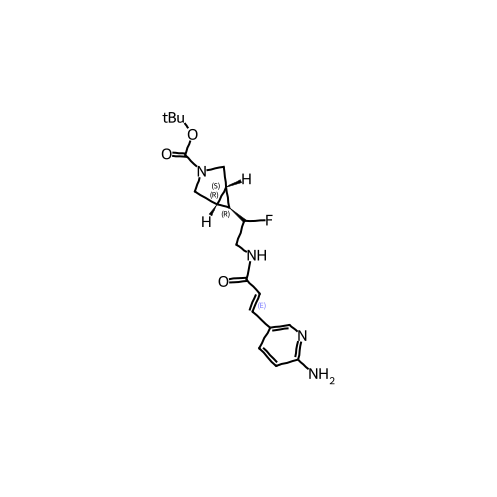 CC(C)(C)OC(=O)N1C[C@@H]2[C@H](C1)[C@H]2C(F)CNC(=O)/C=C/c1ccc(N)nc1